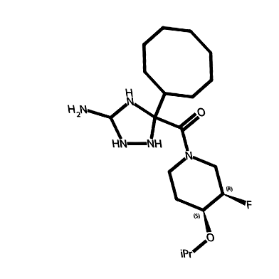 CC(C)O[C@H]1CCN(C(=O)C2(C3CCCCCCC3)NNC(N)N2)C[C@H]1F